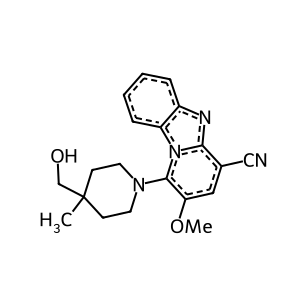 COc1cc(C#N)c2nc3ccccc3n2c1N1CCC(C)(CO)CC1